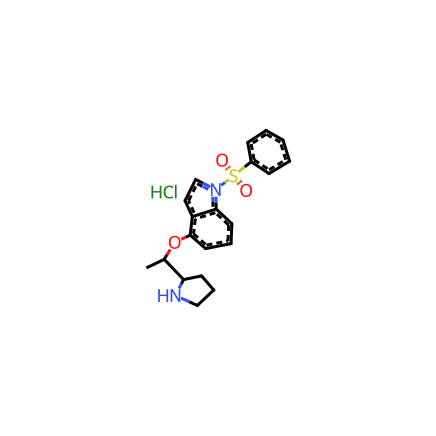 CC(Oc1cccc2c1ccn2S(=O)(=O)c1ccccc1)C1CCCN1.Cl